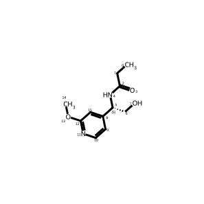 CCC(=O)N[C@H](CO)c1ccnc(OC)c1